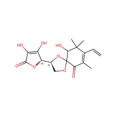 C=CC1=C(C)C(=O)C2(OC[C@@H]([C@H]3OC(=O)C(O)=C3O)O2)C(O)C1(C)C